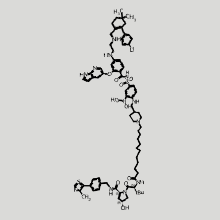 Cc1ncsc1-c1ccc(CNC(=O)[C@@H]2C[C@@H](O)CN2C(=O)[C@@H](NC(=O)CCCCCCCCCCCN2CCC(CNc3ccc(S(=O)(=O)NC(=O)c4ccc(NCCNCC5=C(c6ccc(Cl)cc6)CC(C)(C)CC5)cc4Oc4cnc5[nH]ccc5c4)cc3N(O)O)CC2)C(C)(C)C)cc1